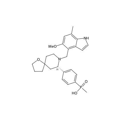 COc1cc(C)c2[nH]ccc2c1CN1CCC2(CCCO2)C[C@H]1c1ccc(P(C)(=O)O)cc1